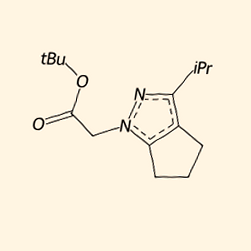 CC(C)c1nn(CC(=O)OC(C)(C)C)c2c1CCC2